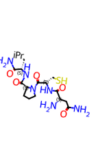 CC(C)C[C@H](NC(=O)[C@@H]1CCCN1C(=O)[C@H](CS)NC(=O)[C@@H](N)CC(N)=O)C(N)=O